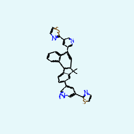 CC1(C)c2cc(-c3cncc(-c4nccs4)c3)ccc2-c2c1cc(-c1cncc(-c3nccs3)c1)c1ccccc21